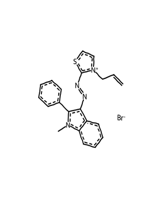 C=CC[n+]1ccsc1/N=N/c1c(-c2ccccc2)n(C)c2ccccc12.[Br-]